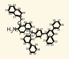 Nc1ccc2c(N(c3ccc(-c4cc(-c5ccccc5)cc5ccccc45)cc3)c3cccc(-c4ccccc4)c3)cccc2c1OCc1ccc2ccccc2c1